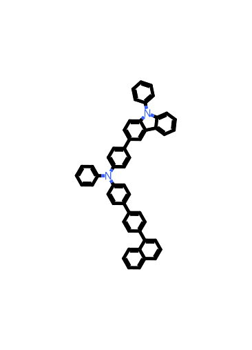 c1ccc(N(c2ccc(-c3ccc(-c4cccc5ccccc45)cc3)cc2)c2ccc(-c3ccc4c(c3)c3ccccc3n4-c3ccccc3)cc2)cc1